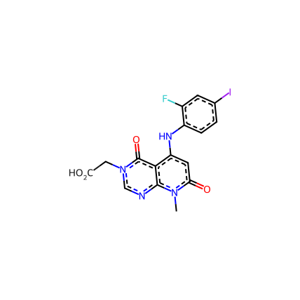 Cn1c(=O)cc(Nc2ccc(I)cc2F)c2c(=O)n(CC(=O)O)cnc21